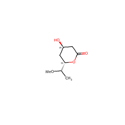 COC(C)[C@@H]1C[C@@H](O)CC(=O)O1